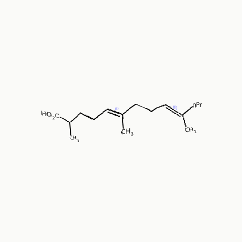 CCC/C(C)=C/CC/C(C)=C/CCC(C)C(=O)O